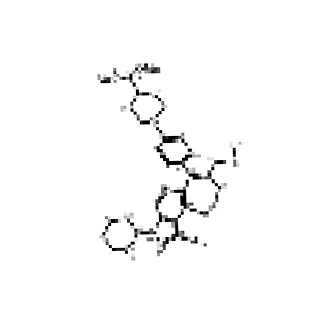 COC(OC)C1CCN(c2ccc(C3=C(CCC(C)C)CCCc4c3ccc3c4c(F)nn3C3CCCCO3)cc2)CC1